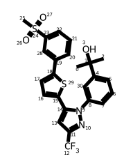 CC(C)(O)c1cccc(-n2nc(C(F)(F)F)cc2-c2ccc(-c3cccc(S(C)(=O)=O)c3)s2)c1